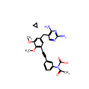 C1CC1.COc1cc(Cc2cnc(N)nc2N)cc(C#Cc2cccc(N(C(C)=O)C(=O)O)c2)c1OC